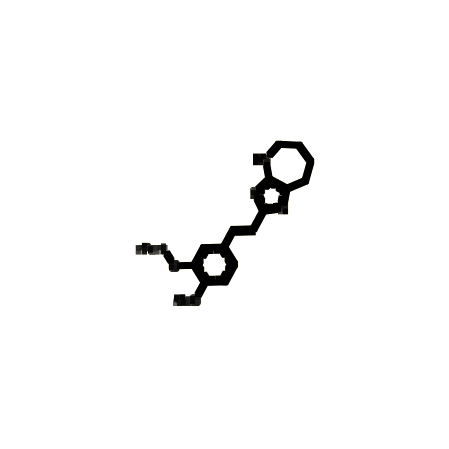 CCCCCOc1cc(C=Cc2nc3c(s2)NCCCC3)ccc1OC